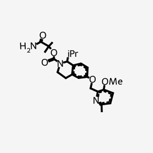 COc1ccc(C)nc1COc1ccc2c(c1)CCN(C(=O)OC(C)(C)C(N)=O)C2C(C)C